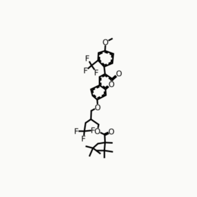 COc1ccc(-c2cc3ccc(OCC(COC(=O)C(C)(CC(C)(C)C)C(C)(C)C)CC(F)(F)F)cc3oc2=O)c(C(F)(F)F)c1